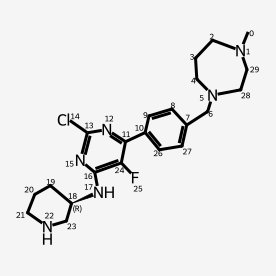 CN1CCCN(Cc2ccc(-c3nc(Cl)nc(N[C@@H]4CCCNC4)c3F)cc2)CC1